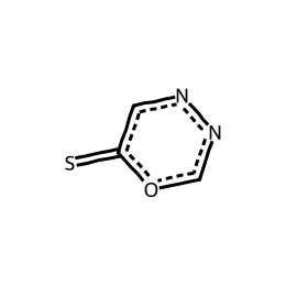 S=c1cnnco1